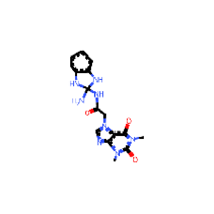 Cn1c(=O)c2c(ncn2CC(=O)NC2(N)Nc3ccccc3N2)n(C)c1=O